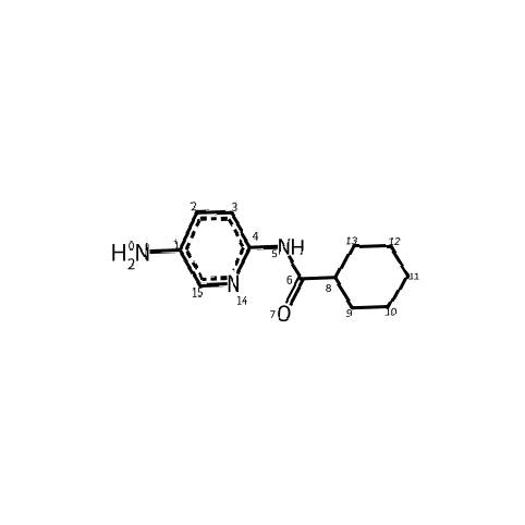 Nc1ccc(NC(=O)C2CCCCC2)nc1